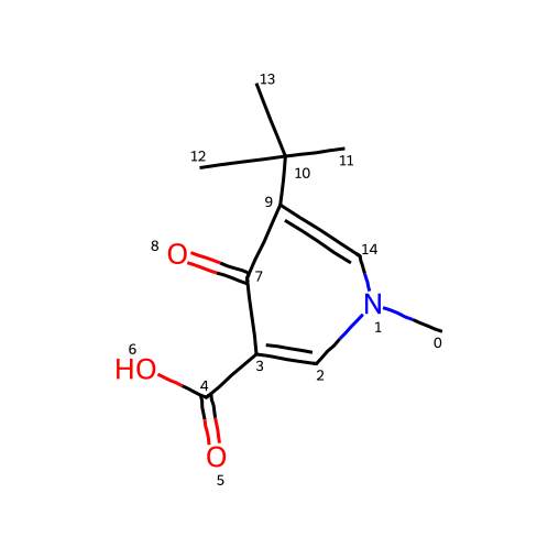 Cn1cc(C(=O)O)c(=O)c(C(C)(C)C)c1